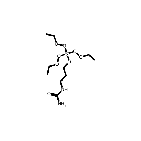 CCOO[Si](OCCCNC(N)=O)(OOCC)OOCC